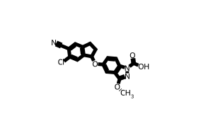 COc1nn(C(=O)O)c2ccc(OC3CCc4cc(C#N)c(Cl)cc43)cc12